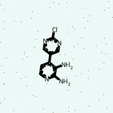 Nc1nccc(-c2cnc(Cl)nc2)c1N